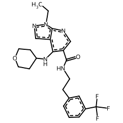 CCn1ncc2c(NC3CCOCC3)c(C(=O)NCCc3cccc(C(F)(F)F)c3)cnc21